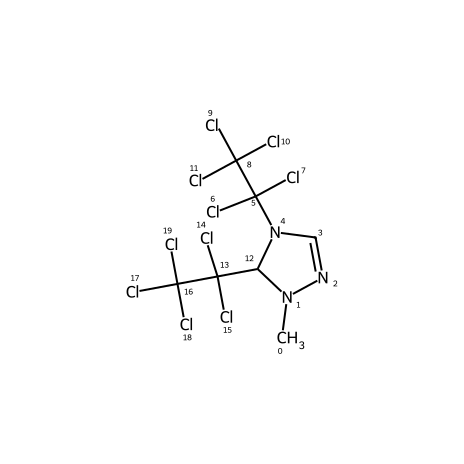 CN1N=CN(C(Cl)(Cl)C(Cl)(Cl)Cl)C1C(Cl)(Cl)C(Cl)(Cl)Cl